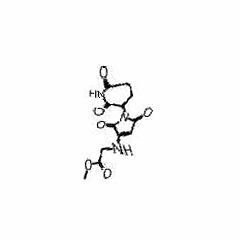 COC(=O)CNC1=CC(=O)N(C2CCC(=O)NC2=O)C1=O